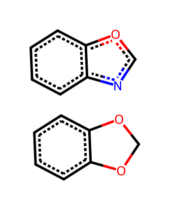 c1ccc2c(c1)OCO2.c1ccc2ocnc2c1